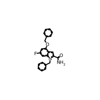 NC(=O)c1cc2c(OCc3ccccc3)cc(F)cc2n1Cc1ccccc1